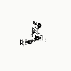 C=C(C)C1C[C@@H](CNC[C@H]2CC[C@H](N(C)C)CC2)C[C@H](CNc2nc(NCc3ccccc3OC(F)(F)F)ncc2C#N)C1